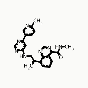 C=C(CNc1cc(-c2ccc(C)nc2)ncn1)c1cccc2c(C(=O)NC)ncnc12